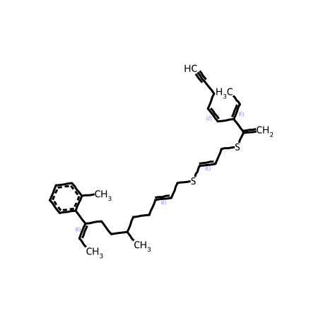 C#CC/C=C\C(=C/C)C(=C)SC/C=C/SC/C=C/CCC(C)CC/C(=C\C)c1ccccc1C